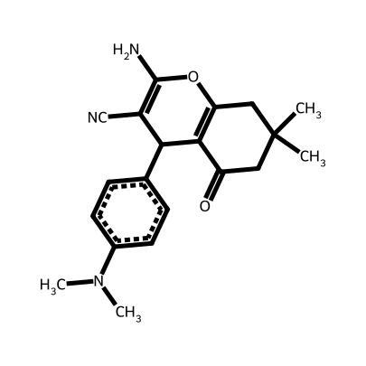 CN(C)c1ccc(C2C(C#N)=C(N)OC3=C2C(=O)CC(C)(C)C3)cc1